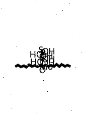 CCCCCCCCC[CH2][Mo](=[O])[CH2]CCCCCCCCC.OP(O)(O)=S.OP(O)(O)=S